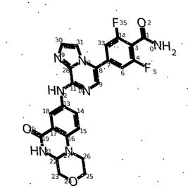 NC(=O)c1c(F)cc(-c2cnc(Nc3ccc4c(c3)C(=O)NC3COCCN43)c3nccn23)cc1F